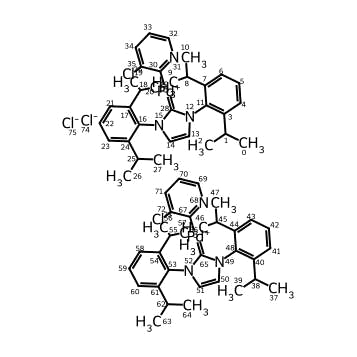 CC(C)c1cccc(C(C)C)c1-n1ccn(-c2c(C(C)C)cccc2C(C)C)[c]1=[Pd+][c]1ncccc1Cl.CC(C)c1cccc(C(C)C)c1-n1ccn(-c2c(C(C)C)cccc2C(C)C)[c]1=[Pd+][c]1ncccc1Cl.[Cl-].[Cl-]